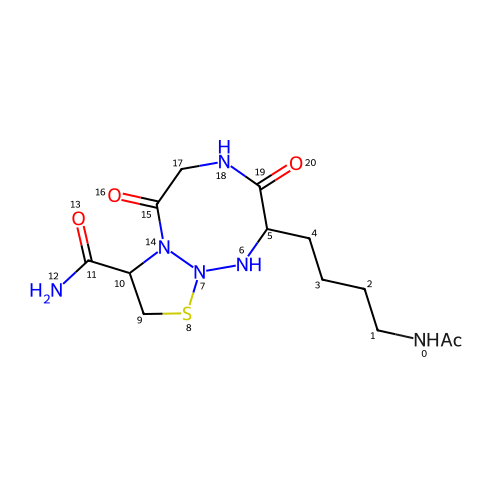 CC(=O)NCCCCC1NN2SCC(C(N)=O)N2C(=O)CNC1=O